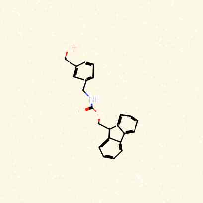 O=C(NCc1cccc(CO)c1)OCC1c2ccccc2-c2ccccc21